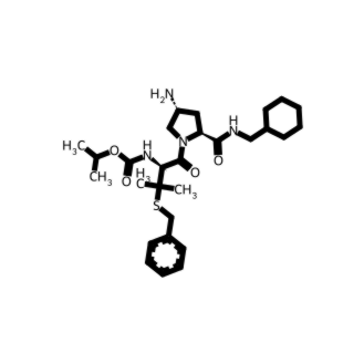 CC(C)OC(=O)N[C@@H](C(=O)N1C[C@H](N)C[C@H]1C(=O)NCC1CCCCC1)C(C)(C)SCc1ccccc1